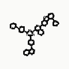 c1ccc(-c2ccc(-c3nc(-c4ccc(-c5cccc6ccccc56)cc4)nc(-c4ccc(-c5ccc6c(c5)oc5cccc(-c7ccccc7)c56)c5ccccc45)n3)cc2)cc1